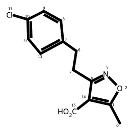 Cc1onc(CCc2ccc(Cl)cc2)c1C(=O)O